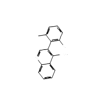 COc1c(-c2c(N)cccc2Cl)cnc2ccccc12